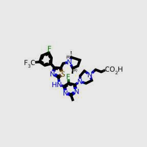 Cc1nc(Nc2nc(-c3cc(F)cc(C(F)(F)F)c3)c(CN3[C@H](C)CC[C@H]3C)s2)c(F)c(N2CCN(CCC(=O)O)CC2)n1